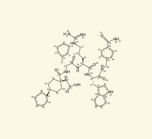 CCCC(=O)N[C@]1(C(=O)N[C@H](Cc2ccccc2)C(=O)N[C@@H](CCCNC(=N)N)C(=O)N[C@@H](Cc2c[nH]c3ccccc23)C(=O)NCc2ccc(C(N)=O)cc2)CC[C@H](c2ccccc2)CC1